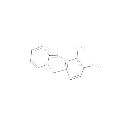 COc1ccc2c(c1OC)N=C1C=CC=CN1C2